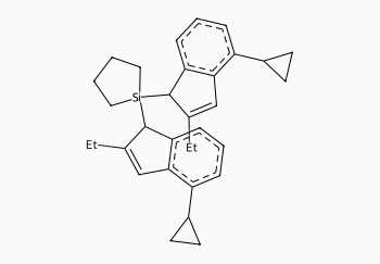 CCC1=Cc2c(C3CC3)cccc2C1[Si]1(C2C(CC)=Cc3c(C4CC4)cccc32)CCCC1